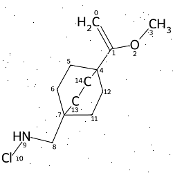 C=C(OC)C12CCC(CNCl)(CC1)CC2